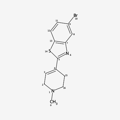 CN1CC=C(c2nc3cc(Br)ccc3s2)CC1